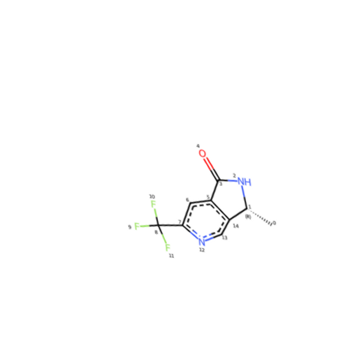 C[C@H]1NC(=O)c2cc(C(F)(F)F)ncc21